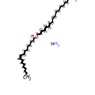 CCCCCCCC/C=C\CCCCCCCC(=O)OC=CCCCCCCCCCCCCCCCC.N